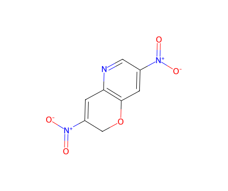 O=[N+]([O-])C1=Cc2ncc([N+](=O)[O-])cc2OC1